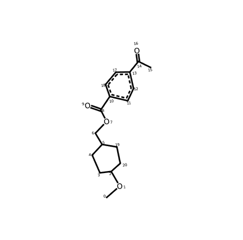 COC1CCC(COC(=O)c2ccc(C(C)=O)cc2)CC1